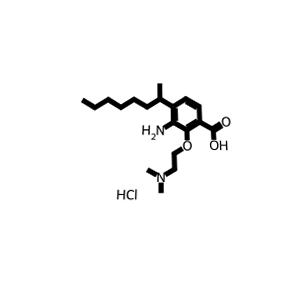 CCCCCCC(C)c1ccc(C(=O)O)c(OCCN(C)C)c1N.Cl